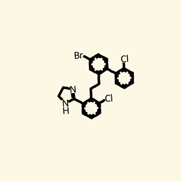 Clc1ccccc1-c1ccc(Br)cc1CCc1c(Cl)cccc1C1=NCCN1